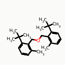 Cc1cccc(C(C)(C)C)c1COCc1c(C)cccc1C(C)(C)C